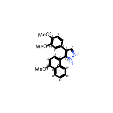 COc1ccc(-c2cn[nH]c2-c2ccc(OC)c3ccccc23)cc1OC